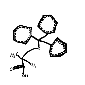 CC(C)(COC(c1ccccc1)(c1ccccc1)c1ccccc1)C(=O)O